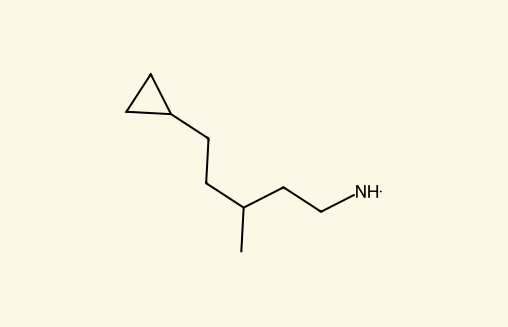 CC(CC[NH])CCC1CC1